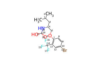 CC(C)CC(COc1ccc(Br)cc1C(F)(F)F)NC(=O)O